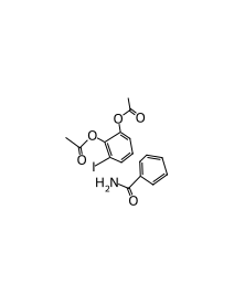 CC(=O)Oc1cccc(I)c1OC(C)=O.NC(=O)c1ccccc1